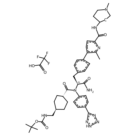 Cc1nc(C(=O)NC2CCN(C)CC2)ccc1-c1ccc(C[C@@H](C(N)=O)N(c2ccc(-c3nn[nH]n3)cc2)C(=O)[C@H]2CC[C@H](CNC(=O)OC(C)(C)C)CC2)cc1.O=C(O)C(F)(F)F